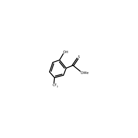 COC(=S)c1cc(C(F)(F)F)ccc1O